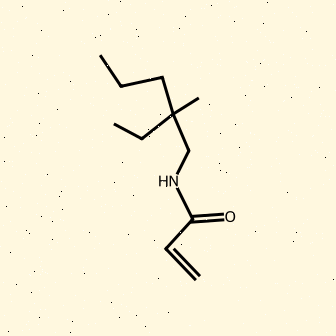 C=CC(=O)NCC(C)(CC)CCC